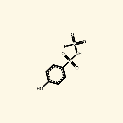 O=S(=O)(F)NS(=O)(=O)c1ccc(O)cc1